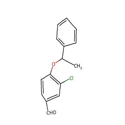 CC(Oc1ccc(C=O)cc1Cl)c1ccccc1